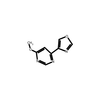 COc1cc(-c2cocn2)ncn1